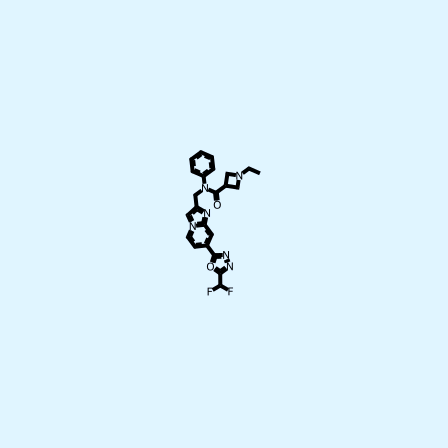 CCN1CC(C(=O)N(Cc2cn3ccc(-c4nnc(C(F)F)o4)cc3n2)c2ccccc2)C1